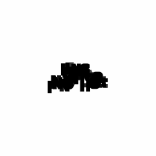 CCS(=O)(=O)c1ccc([C@H](CC#N)NC(=O)c2ccc(N3C[C@@H](Oc4ccc(-n5cc(F)cn5)cn4)C[C@H]3COC(F)F)cc2)cc1